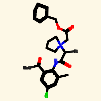 CCC(C(=O)Nc1c(C)cc(Cl)cc1C(=O)OC)[N+]1(CC(=O)OCc2ccccc2)CCCC1